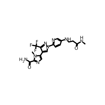 CNC(=O)CCNc1ccc(-n2cc(-c3cnc(C(N)=O)n3C)c(C(F)(F)F)n2)nc1